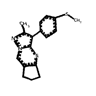 CSc1ccc(-c2c(C)nn3cc4c(nc23)CCC4)cc1